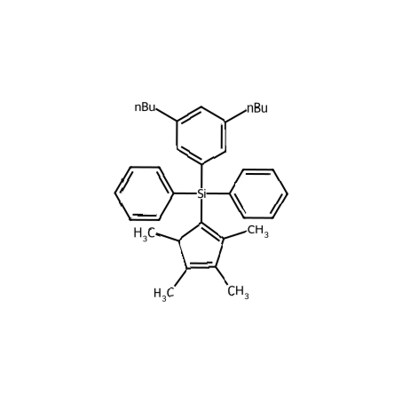 CCCCc1cc(CCCC)cc([Si](C2=C(C)C(C)=C(C)C2C)(c2ccccc2)c2ccccc2)c1